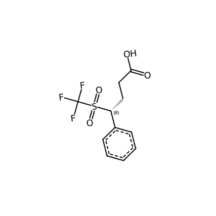 O=C(O)CC[C@H](c1ccccc1)S(=O)(=O)C(F)(F)F